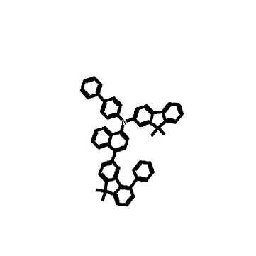 CC1(C)c2ccccc2-c2ccc(N(c3ccc(-c4ccccc4)cc3)c3ccc(-c4ccc5c(c4)-c4c(-c6ccccc6)cccc4C5(C)C)c4ccccc34)cc21